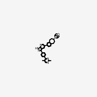 Cc1ncc(C)c(-c2ccc(-c3n[nH]c4ncc(-c5ccc6c(c5)CC[C@@H](N5C7COCC5C7)CC6)cc34)cc2)n1